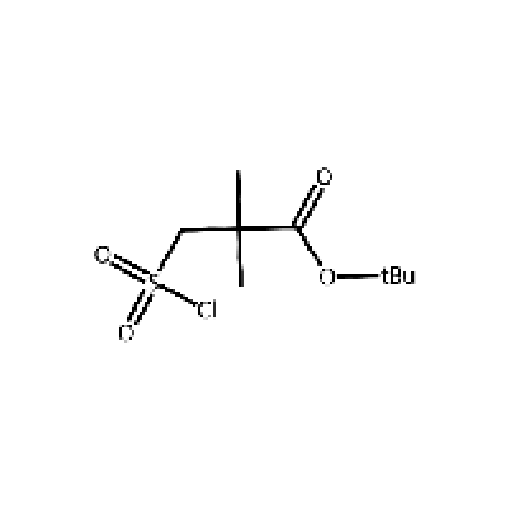 CC(C)(C)OC(=O)C(C)(C)CS(=O)(=O)Cl